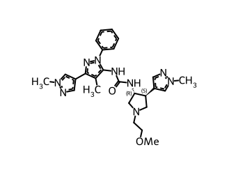 COCCN1C[C@H](NC(=O)Nc2c(C)c(-c3cnn(C)c3)nn2-c2ccccc2)[C@@H](c2cnn(C)c2)C1